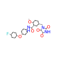 COc1ccc(CN2C(=O)NC(=O)C2=O)cc1C(=O)Nc1ccc(Oc2ccc(F)cc2)cc1